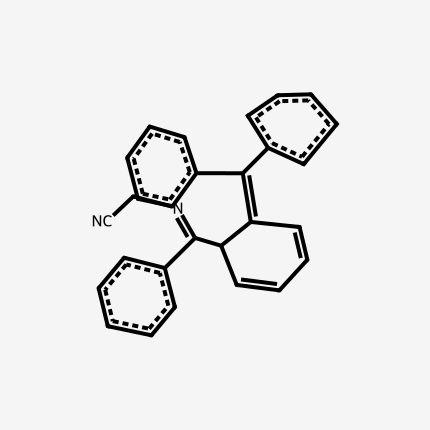 N#CCN=C(c1ccccc1)C1C=CC=CC1=C(c1ccccc1)c1ccccc1